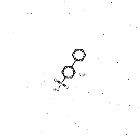 O=S(=O)(O)c1ccc(-c2ccccc2)cc1.[NaH]